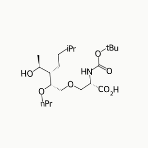 CCCO[C@@H](COC[C@H](NC(=O)OC(C)(C)C)C(=O)O)[C@@H](CCC(C)C)[C@H](C)O